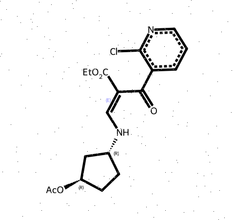 CCOC(=O)/C(=C/N[C@@H]1CC[C@@H](OC(C)=O)C1)C(=O)c1cccnc1Cl